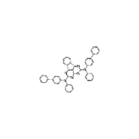 c1ccc(-c2ccc(N(c3ccccc3)c3nc4c5c(nc(N(c6ccccc6)c6ccc(-c7ccccc7)cc6)nc5n3)-c3ccccc3-4)cc2)cc1